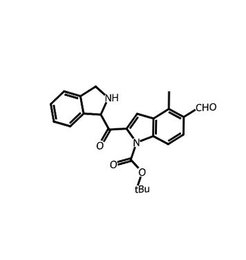 Cc1c(C=O)ccc2c1cc(C(=O)C1NCc3ccccc31)n2C(=O)OC(C)(C)C